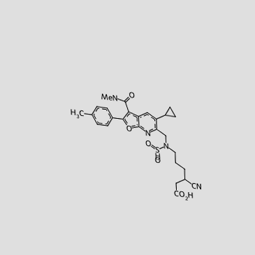 CNC(=O)c1c(-c2ccc(C)cc2)oc2nc(CN(CCCC(C#N)CC(=O)O)[SH](=O)=O)c(C3CC3)cc12